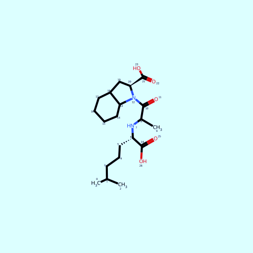 CC(C)CCC[C@H](NC(C)C(=O)N1C2CCCCC2C[C@H]1C(=O)O)C(=O)O